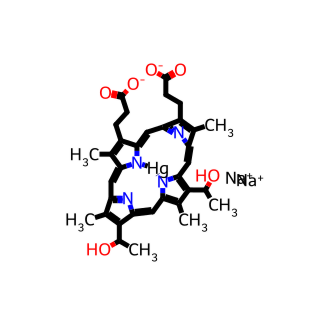 CC1=C(C(C)O)/C2=C/c3c(C)c(C(C)O)c4[n]3[Hg][n]3/c(c(C)c(CCC(=O)[O-])/c3=C/C3=NC(=C\4)/C(C)=C3CCC(=O)[O-])=C\C1=N2.[Na+].[Na+]